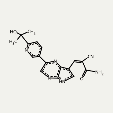 CC(C)(O)c1ccc(-c2cnc3[nH]cc(C=C(C#N)C(N)=O)c3n2)cn1